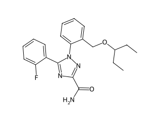 CCC(CC)OCc1ccccc1-n1nc(C(N)=O)nc1-c1ccccc1F